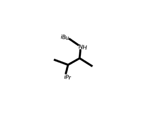 CCC(C)NC(C)C(C)C(C)C